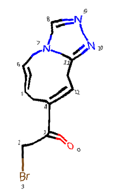 O=C(CBr)c1ccn2cnnc2c1